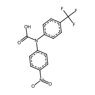 O=C(O)N(c1ccc([N+](=O)[O-])cc1)c1ccc(C(F)(F)F)cc1